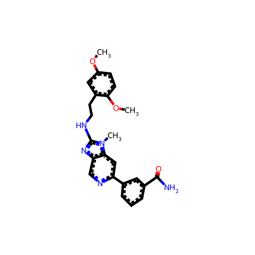 COc1ccc(OC)c(CCNc2nc3cnc(-c4cccc(C(N)=O)c4)cc3n2C)c1